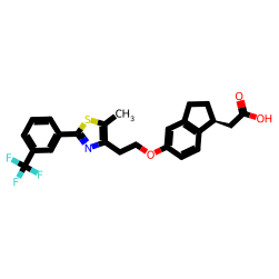 Cc1sc(-c2cccc(C(F)(F)F)c2)nc1CCOc1ccc2c(c1)CC[C@H]2CC(=O)O